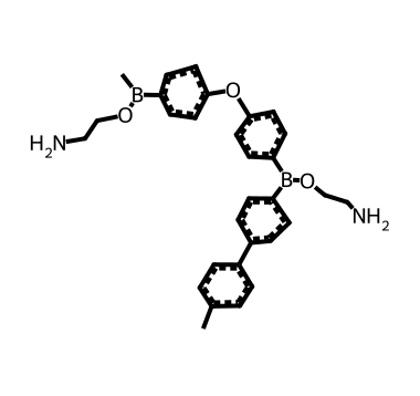 CB(OCCN)c1ccc(Oc2ccc(B(OCCN)c3ccc(-c4ccc(C)cc4)cc3)cc2)cc1